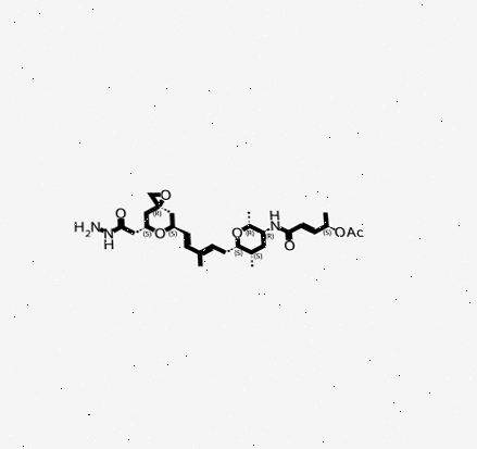 CC(=O)O[C@@H](C)C=CC(=O)N[C@@H]1C[C@H](C)[C@H](CC=C(C)C=C[C@@H]2C[C@@]3(CO3)C[C@@H](CC(=O)NN)O2)O[C@@H]1C